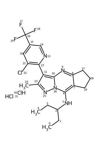 CCC(CC)Nc1c2c(nc3c(-c4ncc(C(F)(F)F)cc4Cl)c(C)nn13)CCC2.Cl.Cl